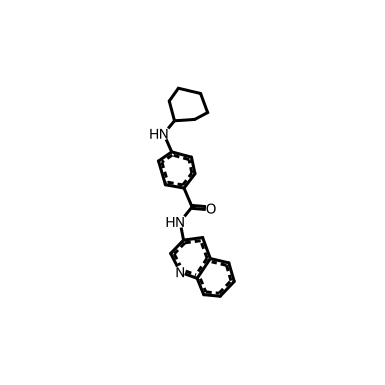 O=C(Nc1cnc2ccccc2c1)c1ccc(NC2CCCCC2)cc1